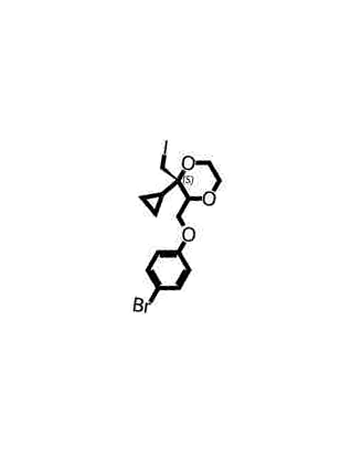 Brc1ccc(OCC2OCCO[C@@]2(CI)C2CC2)cc1